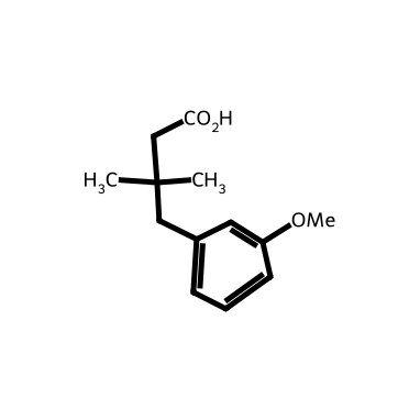 COc1cccc(CC(C)(C)CC(=O)O)c1